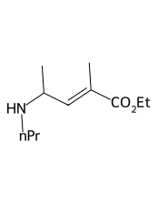 CCCNC(C)C=C(C)C(=O)OCC